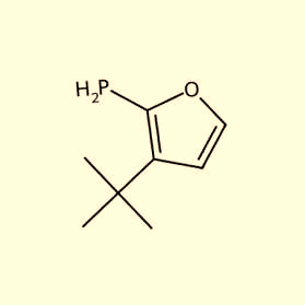 CC(C)(C)c1ccoc1P